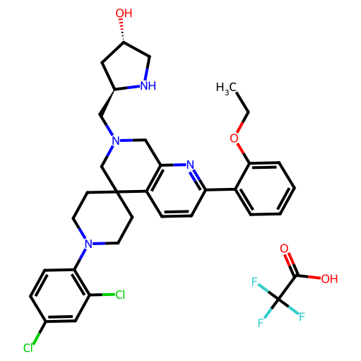 CCOc1ccccc1-c1ccc2c(n1)CN(C[C@H]1C[C@H](O)CN1)CC21CCN(c2ccc(Cl)cc2Cl)CC1.O=C(O)C(F)(F)F